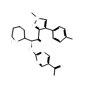 CC(=O)c1cnc(N[C@H](C(=O)c2nn(C)cc2-c2ccc(F)cc2)C2CCCCN2)nc1